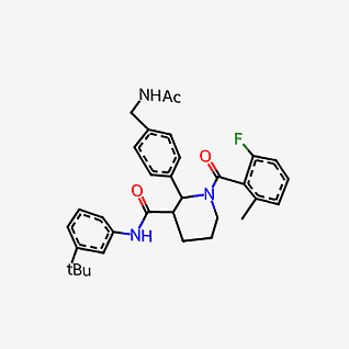 CC(=O)NCc1ccc(C2C(C(=O)Nc3cccc(C(C)(C)C)c3)CCCN2C(=O)c2c(C)cccc2F)cc1